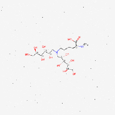 CN[C@@H](CCCCN(C[C@H](O)[C@@H](O)[C@H](O)[C@H](O)CO)C[C@H](O)[C@@H](O)[C@H](O)[C@H](O)CO)C(=O)O